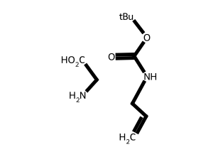 C=CCNC(=O)OC(C)(C)C.NCC(=O)O